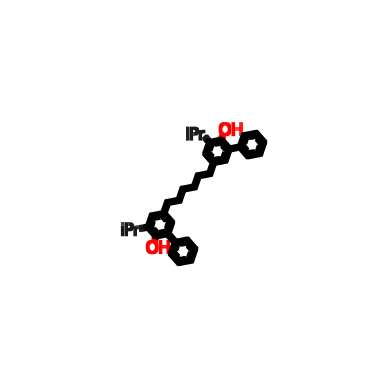 CC(C)c1cc(CCCCCCc2cc(-c3ccccc3)c(O)c(C(C)C)c2)cc(-c2ccccc2)c1O